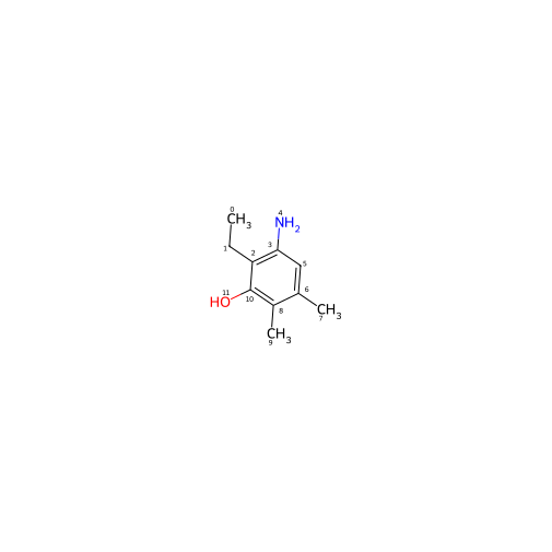 CCc1c(N)cc(C)c(C)c1O